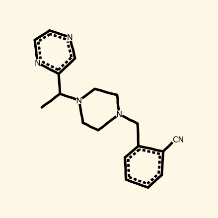 CC(c1cnccn1)N1CCN(Cc2ccccc2C#N)CC1